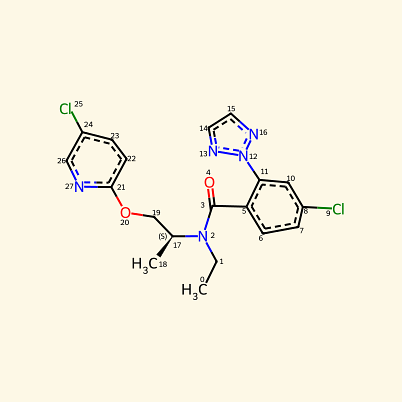 CCN(C(=O)c1ccc(Cl)cc1-n1nccn1)[C@@H](C)COc1ccc(Cl)cn1